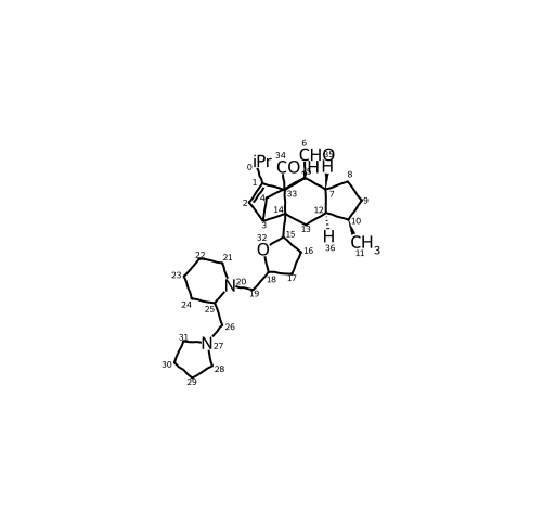 CC(C)C1=CC2CC3(C=O)[C@@H]4CC[C@@H](C)[C@H]4CC2(C2CCC(CN4CCCCC4CN4CCCC4)O2)C13C(=O)O